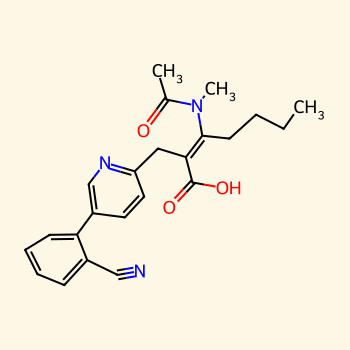 CCCCC(=C(Cc1ccc(-c2ccccc2C#N)cn1)C(=O)O)N(C)C(C)=O